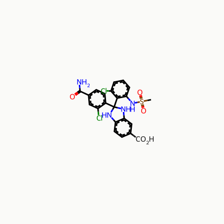 CS(=O)(=O)Nc1cccc(Cl)c1C1(c2ccc(C(N)=O)cc2Cl)Nc2ccc(C(=O)O)cc2N1